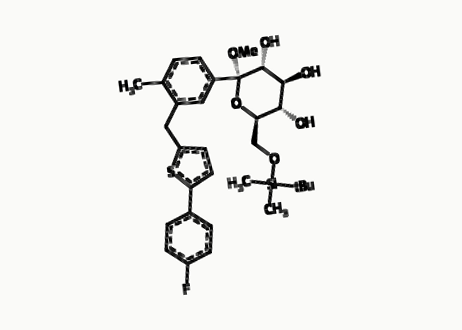 CO[C@@]1(c2ccc(C)c(Cc3ccc(-c4ccc(F)cc4)s3)c2)O[C@H](CO[Si](C)(C)C(C)(C)C)[C@@H](O)[C@H](O)[C@H]1O